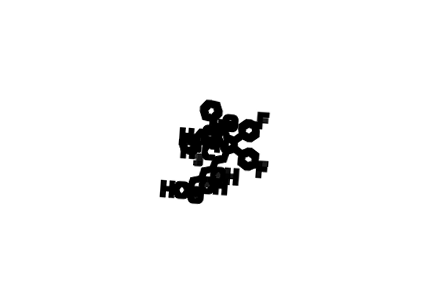 CC(C)n1c(C=C[C@@H](O)C[C@@H](O)CC(=O)O)c(-c2ccc(F)cc2)c(-c2ccc(F)cc2)c1C(=O)N(OCc1ccccc1)c1ccccc1